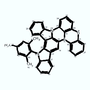 Cc1cc(C)c(-n2c3ccccc3c3cc4c5c(c6ccccc6n5-c5cccc6c5B4c4ccccc4O6)c32)c(C)c1